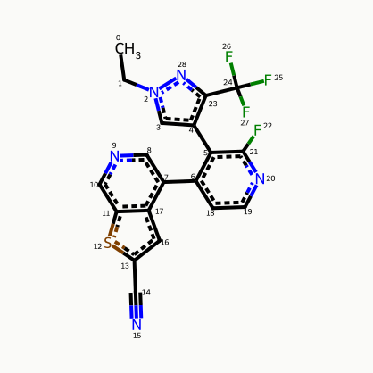 CCn1cc(-c2c(-c3cncc4sc(C#N)cc34)ccnc2F)c(C(F)(F)F)n1